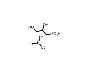 CCN(CC)CC.O=S(=O)(O)CC(O)CO